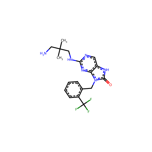 CC(C)(CN)CNc1ncc2[nH]c(=O)n(Cc3ccccc3C(F)(F)F)c2n1